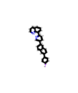 Ic1ccc(-c2ccc3cc(-c4ccc(-c5cccc6cccnc56)nc4)ccc3c2)cc1